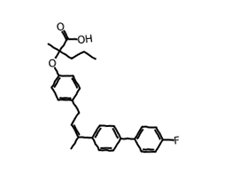 CCCC(C)(Oc1ccc(CC=C(C)c2ccc(-c3ccc(F)cc3)cc2)cc1)C(=O)O